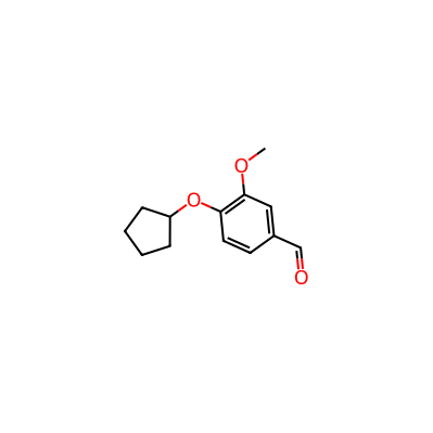 COc1cc(C=O)ccc1OC1CCCC1